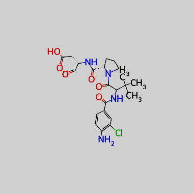 CC(C)(C)C(NC(=O)c1ccc(N)c(Cl)c1)C(=O)N1CCC[C@H]1C(=O)N[C@H](C=O)CC(=O)O